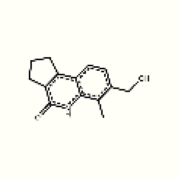 Cc1c(CO)ccc2c3c(c(=O)[nH]c12)CCC3